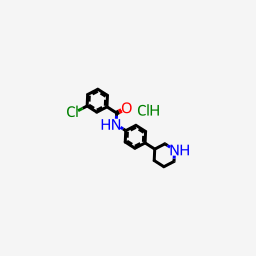 Cl.O=C(Nc1ccc(C2CCCNC2)cc1)c1cccc(Cl)c1